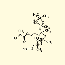 C=C(C)C(=O)OCCC[Si](C)(O[Si](C)(C)O[Si](C)(C)C)O[Si](C)(C)O[Si](C)(C)COCCC